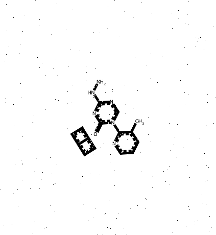 Cc1cccnc1-n1cnc(NN)nc1=O.c1cc2ccc1-2